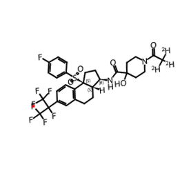 [2H]C([2H])([2H])C(=O)N1CCC(O)(C(=O)N[C@@H]2CC[C@@]3(S(=O)(=O)c4ccc(F)cc4)c4ccc(C(F)(C(F)(F)F)C(F)(F)F)cc4CC[C@@H]23)CC1